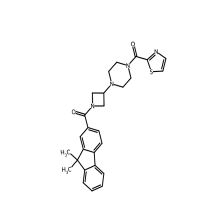 CC1(C)c2ccccc2-c2ccc(C(=O)N3CC(N4CCN(C(=O)c5nccs5)CC4)C3)cc21